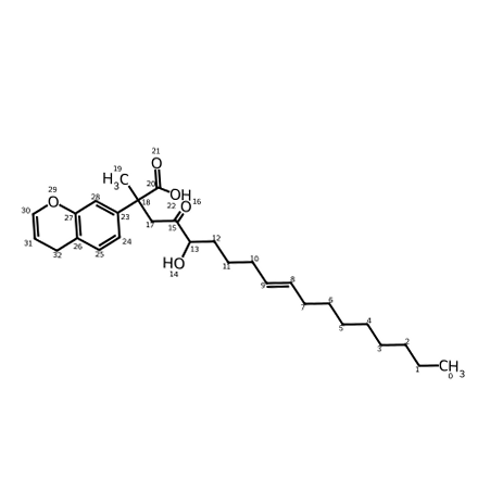 CCCCCCCCC=CCCCC(O)C(=O)CC(C)(C(=O)O)c1ccc2c(c1)OC=CC2